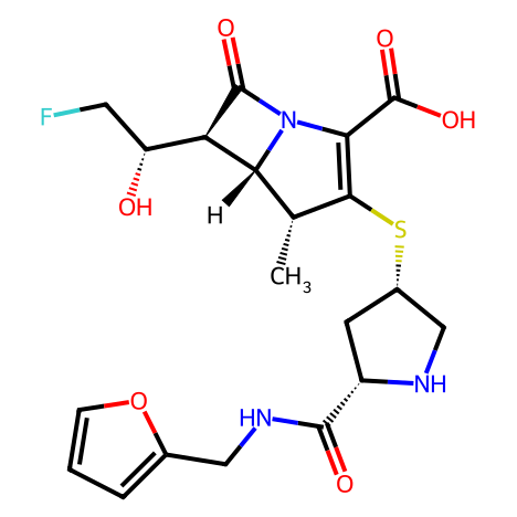 C[C@H]1C(S[C@@H]2CN[C@H](C(=O)NCc3ccco3)C2)=C(C(=O)O)N2C(=O)[C@H]([C@H](O)CF)[C@@H]12